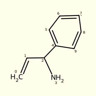 C=CC(N)c1cc[c]cc1